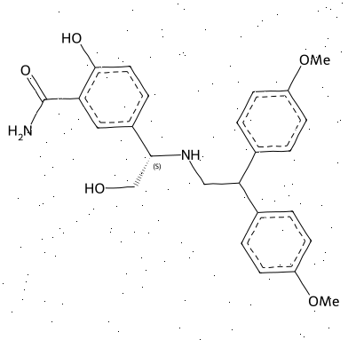 COc1ccc(C(CN[C@H](CO)c2ccc(O)c(C(N)=O)c2)c2ccc(OC)cc2)cc1